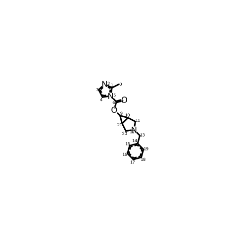 Cc1nccn1C(=O)OC1C2CN(Cc3ccccc3)CC21